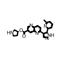 Cc1cccc(-c2[nH]ncc2-c2ccc3ncc(C(=O)O[C@@H]4CCNC4)cc3n2)n1